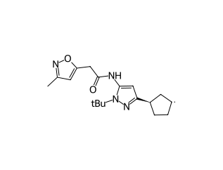 Cc1cc(CC(=O)Nc2cc([C@H]3C[CH]CC3)nn2C(C)(C)C)on1